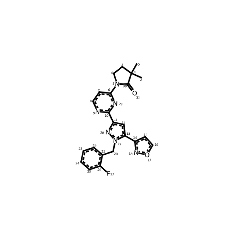 CC1(C)CCN(c2ccnc(-c3cc(-c4ccon4)n(Cc4ccccc4F)n3)n2)C1=O